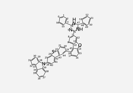 c1ccc(C2N=C(c3ccc4c(c3)oc3cccc(-c5ccc6sc7cc(-n8c9ccccc9c9ccccc98)ccc7c6c5)c34)NC(c3ccccc3)N2)cc1